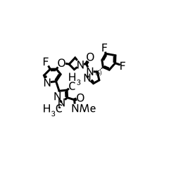 CNC(=O)c1c(C)c(-c2cc(OC3CN(C(=O)N4N=CC[C@H]4c4cc(F)cc(F)c4)C3)c(F)cn2)nn1C